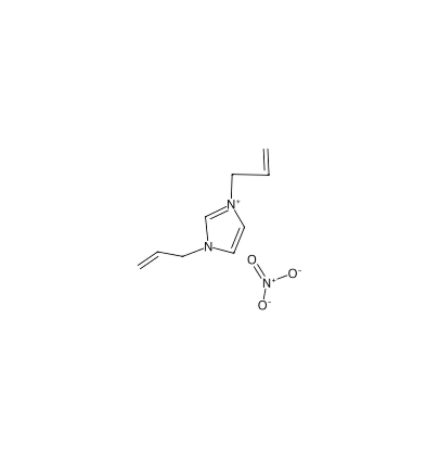 C=CCn1cc[n+](CC=C)c1.O=[N+]([O-])[O-]